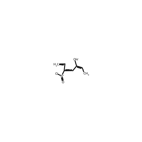 C=C/C(=C\C(O)=C/C)[N+](=O)[O-]